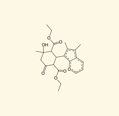 CCOC(=O)C1C(=O)CC(C)(O)C(C(=O)OCC)C1c1c2occcc-2c(C)c1C